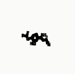 Cl.N#CCC[C@@H](N)c1ccc(OC(F)F)cc1